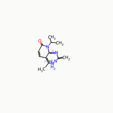 C=C(N)/N=C1\C(=C(\C)N)C=CC(=O)N1C(C)C